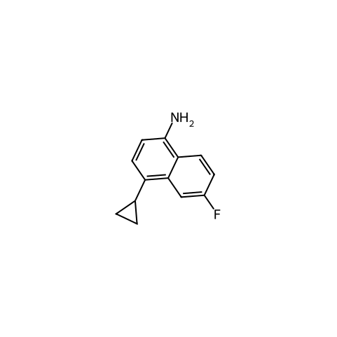 Nc1ccc(C2CC2)c2cc(F)ccc12